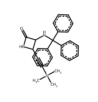 C[Si](C)(C)C#CC1NC(=O)C1NC(c1ccccc1)(c1ccccc1)c1ccccc1